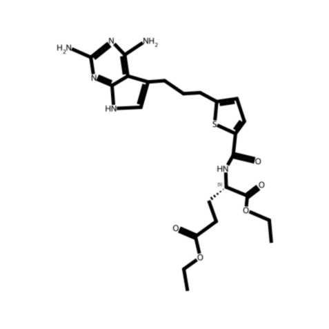 CCOC(=O)CC[C@H](NC(=O)c1ccc(CCCc2c[nH]c3nc(N)nc(N)c23)s1)C(=O)OCC